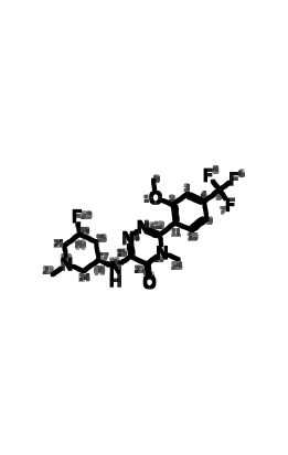 COc1cc(C(F)(F)F)ccc1-c1nnc(N[C@@H]2C[C@H](F)CN(C)C2)c(=O)n1C